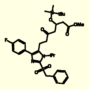 COC(=O)CC(CC(=O)CCc1c(-c2ccc(F)cc2)nc(S(=O)(=O)Cc2ccccc2)n1C(C)C)O[Si](C)(C)C(C)(C)C